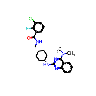 CN(C)c1nc(N[C@H]2CC[C@@H](CNC(=O)c3cccc(Cl)c3F)CC2)nc2ccccc12